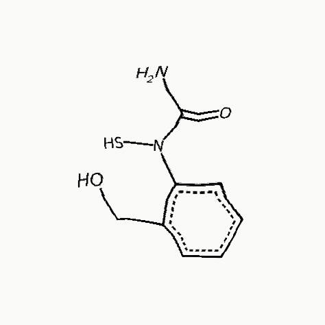 NC(=O)N(S)c1ccccc1CO